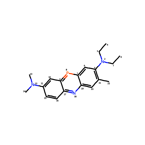 CCN(CC)c1cc2pc3cc(N(C)C)ccc3nc2cc1C